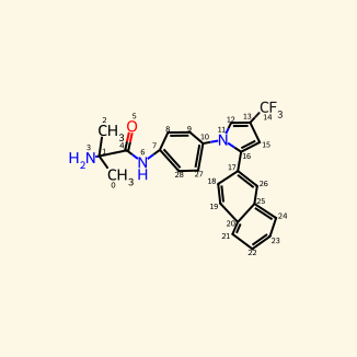 CC(C)(N)C(=O)Nc1ccc(-n2cc(C(F)(F)F)cc2-c2ccc3ccccc3c2)cc1